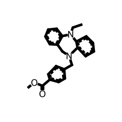 CCN1c2ccccc2CN(Cc2ccc(C(=O)OC)cc2)c2ccccc21